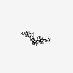 CS(=O)(=O)N1CCC(Nc2ncc(C(F)(F)F)c(-c3cn(-c4ccc(CCN5CCC5)cc4Cl)cn3)n2)CC1